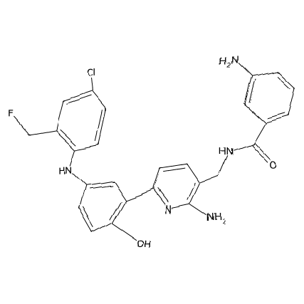 Nc1cccc(C(=O)NCc2ccc(-c3cc(Nc4ccc(Cl)cc4CF)ccc3O)nc2N)c1